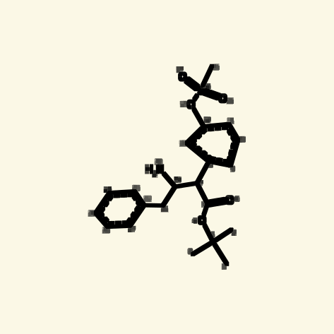 CC(C)(C)OC(=O)C(c1cccc(OS(C)(=O)=O)c1)C(N)Cc1ccccc1